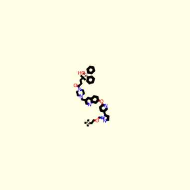 CC(C)(CCC(=O)N1CCN(Cc2cnc3cc(Oc4ccc(-c5ccnn5COCC[Si](C)(C)C)cn4)ccc3c2)CC1)[Si](O)(c1ccccc1)c1ccccc1